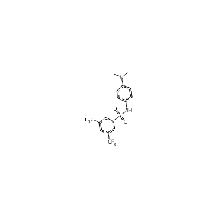 CN(C)c1ccc(NS(=O)(=O)c2cc(C(F)(F)F)cc(C(F)(F)F)c2)cc1